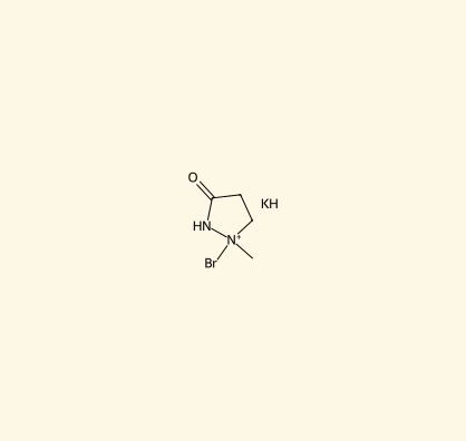 C[N+]1(Br)CCC(=O)N1.[KH]